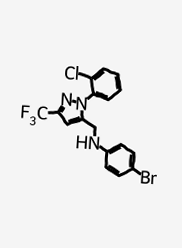 FC(F)(F)c1cc(CNc2ccc(Br)cc2)n(-c2ccccc2Cl)n1